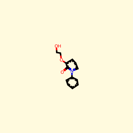 O=c1c(OCCO)cccn1-c1ccccc1